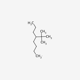 [CH2]CCCC(CCC)C(C)(C)C